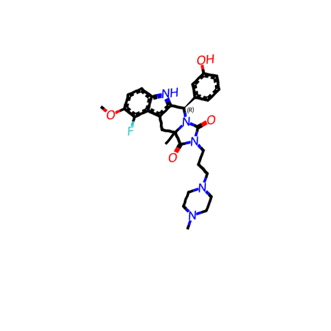 COc1ccc2[nH]c3c(c2c1F)CC1(C)C(=O)N(CCCN2CCN(C)CC2)C(=O)N1[C@@H]3c1cccc(O)c1